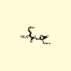 CCCCCCCCCCCC[C@@H](C(=O)O)C(=O)OC[C@H]1OC(=O)[C@H]1CCCCCC